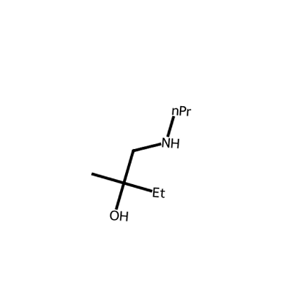 CCCNCC(C)(O)CC